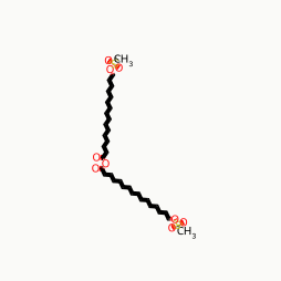 CS(=O)(=O)OCCCCCCCCCCCCCCCC(=O)OC(=O)CCCCCCCCCCCCCCCOS(C)(=O)=O